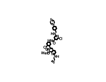 COC1c2nc(NCCN(C)C)ccc2C=C(c2cc(NC(=O)c3cc(Cl)nc(NCc4ccc(N5CCN(C)CC5)cc4)c3)ccc2Cl)[NH+]1[O-]